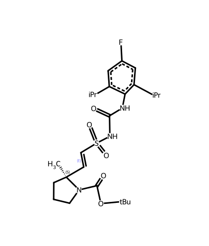 CC(C)c1cc(F)cc(C(C)C)c1NC(=O)NS(=O)(=O)/C=C/[C@]1(C)CCCN1C(=O)OC(C)(C)C